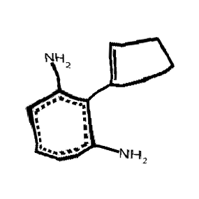 Nc1cccc(N)c1C1=CCCC1